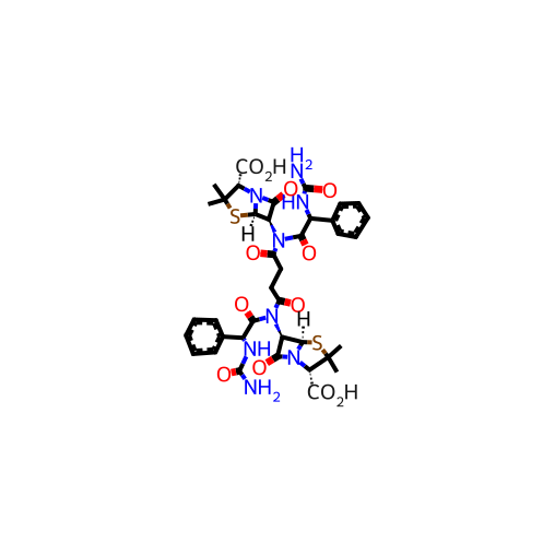 CC1(C)S[C@@H]2[C@H](N(C(=O)CCC(=O)N(C(=O)C(NC(N)=O)c3ccccc3)[C@@H]3C(=O)N4[C@@H]3SC(C)(C)[C@@H]4C(=O)O)C(=O)C(NC(N)=O)c3ccccc3)C(=O)N2[C@H]1C(=O)O